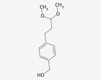 COC(CCc1ccc(CO)cc1)OC